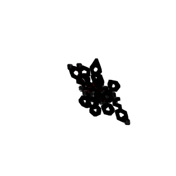 C[Si](C)(CCC1CCC2CC2C1)O[Si]1(c2ccccc2)O[Si]2(c3ccccc3)O[Si](O[Si](C)(C)CCC3CCC4OC4C3)(c3ccccc3)O[Si](c3ccccc3)(O1)O[Si]1(c3ccccc3)O[Si](O[Si](C)(C)CCC3CCC4OC4C3)(c3ccccc3)O[Si](c3ccccc3)(O[Si](O[Si](C)(C)CCC3CCC4OC4C3)(c3ccccc3)O1)O2